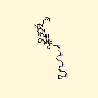 [CH2]C([CH2])CCn1cnc2cnc(NC(=O)[C@H](C)NC(=O)CC/C=C\C/C=C\C/C=C\C/C=C\C/C=C\C/C=C\CC)nc21